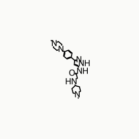 CN1CCC(NCC(=O)Nc2cc(-c3ccc(N4CCN(C)CC4)cc3)n[nH]2)CC1